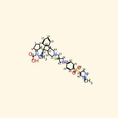 CN(C(=O)O)[C@H]1CCC[C@@H]1C(C#N)(c1ccccc1)C1CCN(CC2(F)CN(c3ccc(S(=O)(=O)c4cnn(C)c4)cc3)C2)CC1